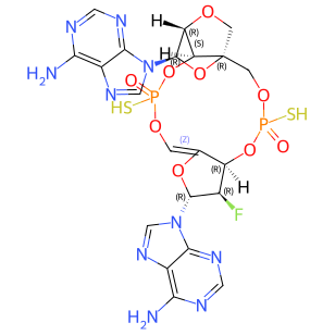 Nc1ncnc2c1ncn2[C@@H]1O/C2=C\OP(=O)(S)O[C@H]3[C@H]4OC[C@]3(COP(=O)(S)O[C@H]2[C@H]1F)O[C@H]4n1cnc2c(N)ncnc21